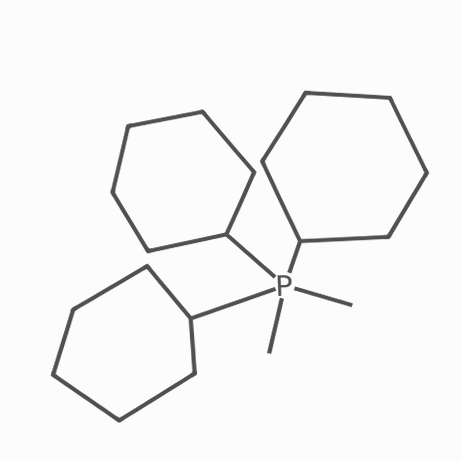 CP(C)(C1CCCCC1)(C1CCCCC1)C1CCCCC1